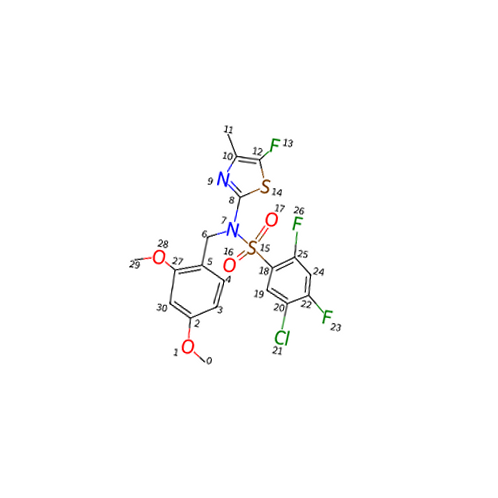 COc1ccc(CN(c2nc(C)c(F)s2)S(=O)(=O)c2cc(Cl)c(F)cc2F)c(OC)c1